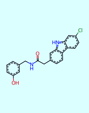 O=C(Cc1ccc2c(c1)[nH]c1cc(Cl)ccc12)NCc1cccc(O)c1